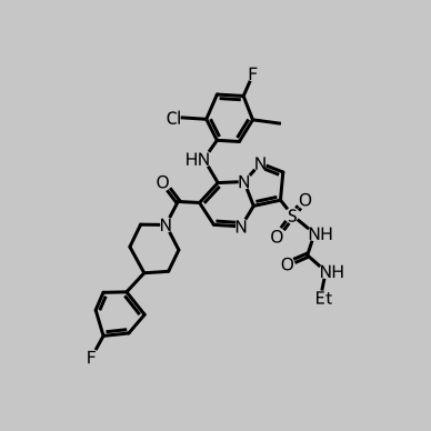 CCNC(=O)NS(=O)(=O)c1cnn2c(Nc3cc(C)c(F)cc3Cl)c(C(=O)N3CCC(c4ccc(F)cc4)CC3)cnc12